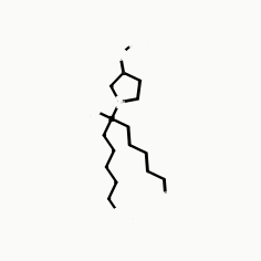 CCCCCCC(C)(CCCCCC)N1CCC(OC)C1